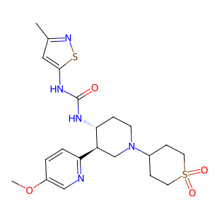 COc1ccc([C@@H]2CN(C3CCS(=O)(=O)CC3)CC[C@H]2NC(=O)Nc2cc(C)ns2)nc1